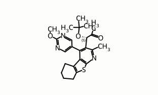 COc1ncc(-c2c([C@H](OC(C)(C)C)C(C)=O)c(C)nc3sc4c(c23)CCCC4)cn1